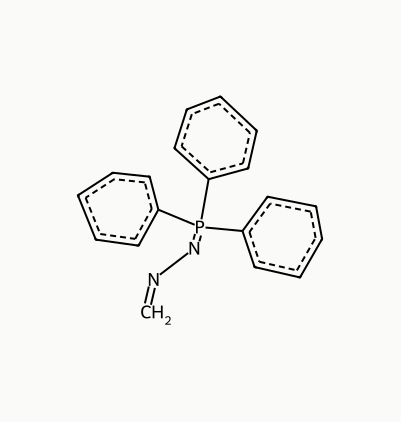 C=NN=P(c1ccccc1)(c1ccccc1)c1ccccc1